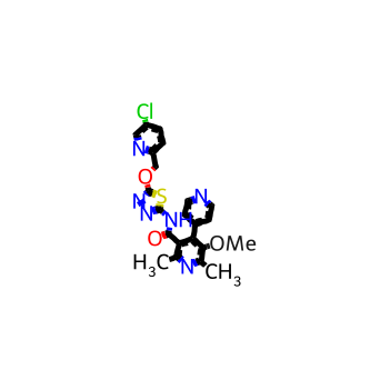 COc1c(C)nc(C)c(C(=O)Nc2nnc(OCc3ccc(Cl)cn3)s2)c1-c1ccncc1